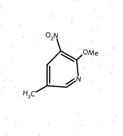 COc1ncc(C)cc1[N+](=O)[O-]